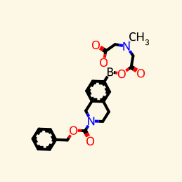 CN1CC(=O)OB(c2ccc3c(c2)CCN(C(=O)OCc2ccccc2)C3)OC(=O)C1